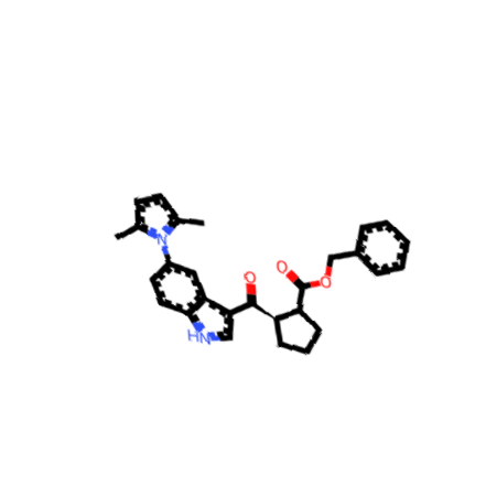 Cc1ccc(C)n1-c1ccc2[nH]cc(C(=O)[C@@H]3CCCC3C(=O)OCc3ccccc3)c2c1